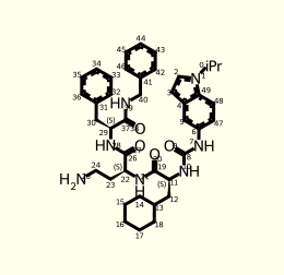 CC(C)n1ccc2cc(NC(=O)N[C@@H](CC3CCCCC3)C(=O)N[C@@H](CCN)C(=O)N[C@@H](Cc3ccccc3)C(=O)NCc3ccccc3)ccc21